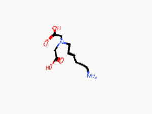 NCCCCCN(CC(=O)O)CC(=O)O